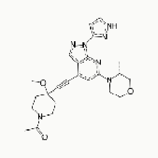 COC1(C#Cc2cc(N3CCOC[C@H]3C)nc3c2cnn3-c2cc[nH]n2)CCN(C(C)=O)CC1